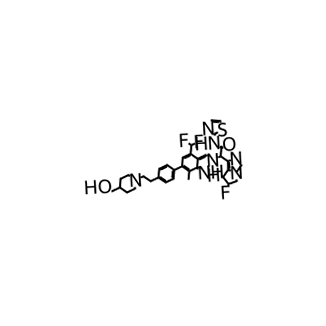 CC1=C(c2ccc(CCN3CCC(CO)CC3)cc2)C=C(C(F)F)/C(=C/NC(C(=O)Nc2nccs2)c2ncn3c2C[C@@H](F)C3)C1=N